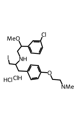 CNCCOc1ccc(CC(CI)NCC(OC)c2cccc(Cl)c2)cc1.Cl.Cl